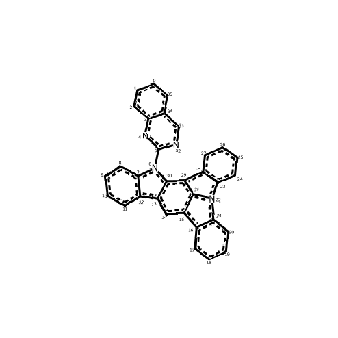 c1ccc2nc(-n3c4ccccc4c4cc5c6ccccc6n6c7ccccc7c(c43)c56)ncc2c1